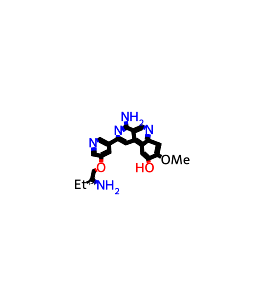 CC[C@H](N)COc1cncc(-c2cc3c(cnc4cc(OC)c(O)cc43)c(N)n2)c1